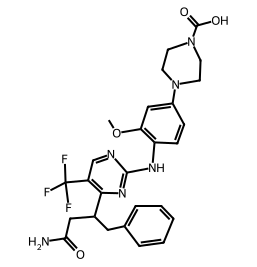 COc1cc(N2CCN(C(=O)O)CC2)ccc1Nc1ncc(C(F)(F)F)c(C(CC(N)=O)Cc2ccccc2)n1